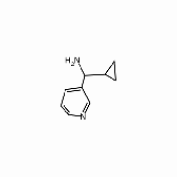 NC(c1cccnc1)C1CC1